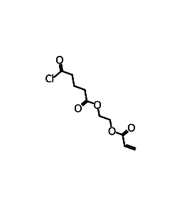 C=CC(=O)OCCOC(=O)CCCC(=O)Cl